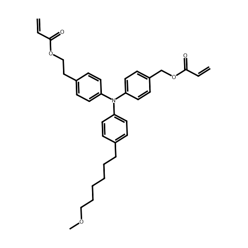 C=CC(=O)OCCc1ccc(N(c2ccc(CCCCCCOC)cc2)c2ccc(COC(=O)C=C)cc2)cc1